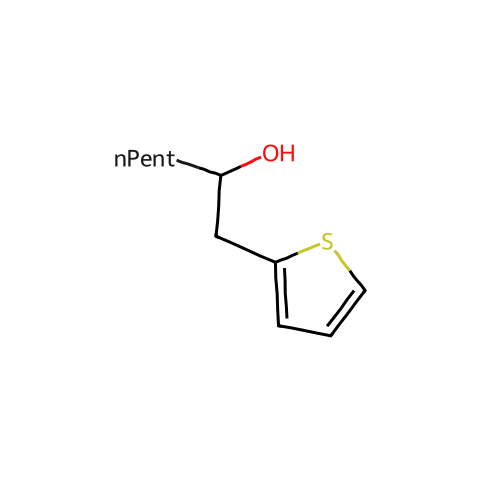 CCCCCC(O)Cc1cccs1